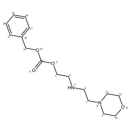 O=C(OCCNCCN1CCOCC1)OCc1ccccc1